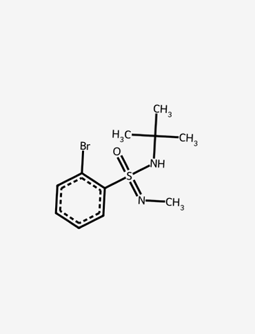 CN=S(=O)(NC(C)(C)C)c1ccccc1Br